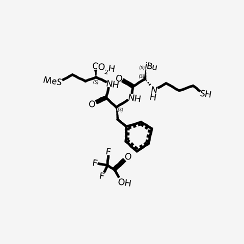 CC[C@H](C)[C@H](NCCCS)C(=O)N[C@@H](Cc1ccccc1)C(=O)N[C@@H](CCSC)C(=O)O.O=C(O)C(F)(F)F